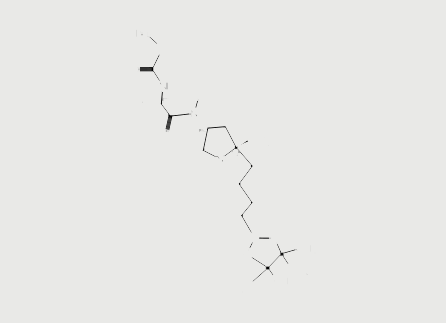 CC(C)[C@H](NC(=O)OC(C)(C)C)C(=O)N(C)[C@H]1CN[C@](CCCCB2OC(C)(C)C(C)(C)O2)(C(=O)O)C1